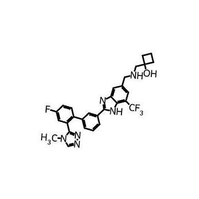 Cn1cnnc1-c1cc(F)ccc1-c1cccc(-c2nc3cc(CNCC4(O)CCC4)cc(C(F)(F)F)c3[nH]2)c1